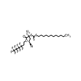 CCCCCCCCCCCCSC(=S)SC(C)(CCC#N)C(=O)OCCC(F)(F)C(F)(F)C(F)(F)C(F)(F)F